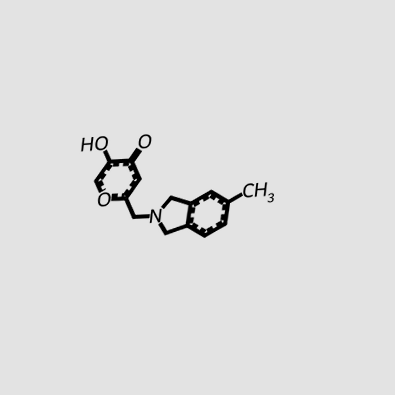 Cc1ccc2c(c1)CN(Cc1cc(=O)c(O)co1)C2